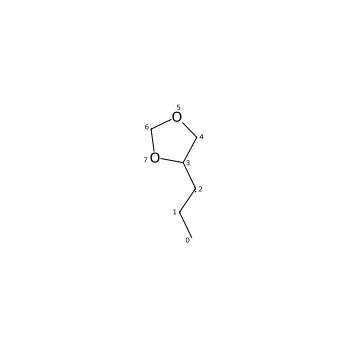 CC[CH]C1COCO1